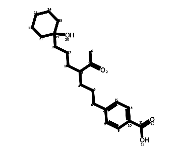 CC(=O)C(CCCc1ccc(C(=O)O)cc1)CCCC1(O)CCCCC1